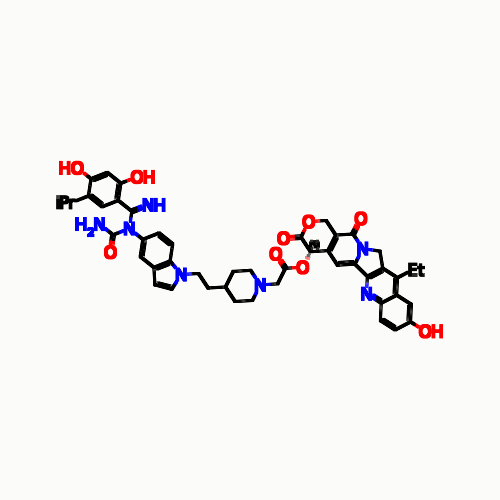 CCc1c2c(nc3ccc(O)cc13)-c1cc3c(c(=O)n1C2)COC(=O)[C@H]3OC(=O)CN1CCC(CCn2ccc3cc(N(C(=N)c4cc(C(C)C)c(O)cc4O)C(N)=O)ccc32)CC1